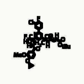 COc1cc(C(=O)NCC(O)(c2cc(C(C)(C)NC(=O)CNC(=O)OC(C)(C)C)cc(-c3ccc(F)c(Cl)c3)n2)C(F)(F)F)ccc1OC1CC1